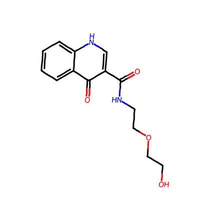 O=C(NCCOCCO)c1c[nH]c2ccccc2c1=O